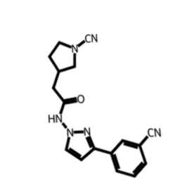 N#Cc1cccc(-c2ccn(NC(=O)CC3CCN(C#N)C3)n2)c1